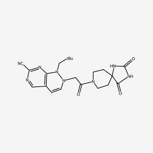 CC(C)(C)CN1c2nc(C#N)ncc2C=CN1CC(=O)N1CCC2(CC1)NC(=O)NC2=O